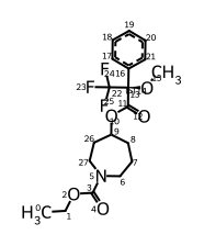 CCOC(=O)N1CCCC(OC(=O)[C@@](OC)(c2ccccc2)C(F)(F)F)CC1